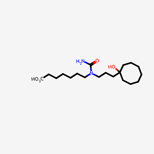 NC(=O)N(CCCCCCC(=O)O)CCCC1(O)CCCCCCC1